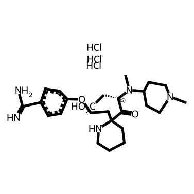 CN1CCC(N(C)[C@@H](CC(=O)O)C(=O)C2(CCOc3ccc(C(=N)N)cc3)CCCCN2)CC1.Cl.Cl.Cl